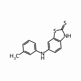 Cc1cccc(Nc2ccc3[nH]c(=S)sc3c2)c1